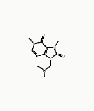 CN(C)Cn1c(=O)n(C)c2c(=O)n(C)cnc21